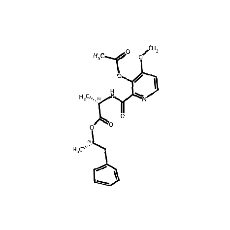 COc1ccnc(C(=O)N[C@@H](C)C(=O)O[C@@H](C)Cc2ccccc2)c1OC(C)=O